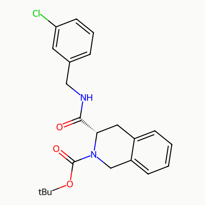 CC(C)(C)OC(=O)N1Cc2ccccc2C[C@H]1C(=O)NCc1cccc(Cl)c1